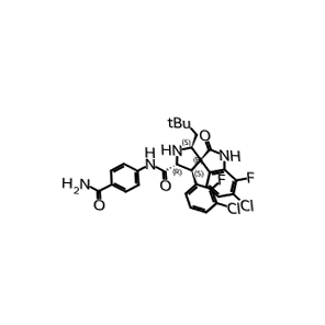 CC(C)(C)C[C@@H]1N[C@@H](C(=O)Nc2ccc(C(N)=O)cc2)[C@H](c2cccc(Cl)c2F)[C@]12C(=O)Nc1c2ccc(Cl)c1F